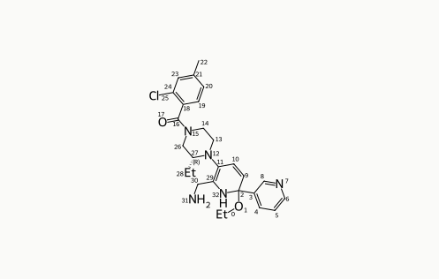 CCOC1(c2cccnc2)C=CC(N2CCN(C(=O)c3ccc(C)cc3Cl)C[C@H]2CC)=C(CN)N1